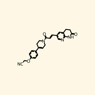 N#CCOc1ccc(C2=CCN(C(=O)/C=C/c3cnc4c(c3)CCC(=O)N4)CC2)cc1